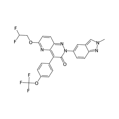 Cn1cc2cc(-n3nc4ccc(OCC(F)F)nc4c(-c4ccc(OC(F)(F)F)cc4)c3=O)ccc2n1